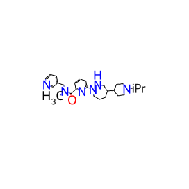 CC(C)N1CCC(C2CCCN(c3cccc(C(=O)N(C)Cc4cccnc4)n3)NC2)CC1